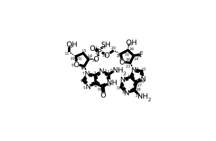 Nc1nc2c(ncn2[C@@H]2O[C@H](CO)C[C@@H]2OP(=O)(S)OC[C@H]2O[C@@H](n3cnc4c(N)ncnc43)C(F)[C@H]2O)c(=O)[nH]1